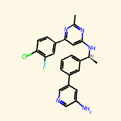 Cc1nc(N[C@@H](C)c2cccc(-c3cncc(N)c3)c2)cc(-c2ccc(Cl)c(F)c2)n1